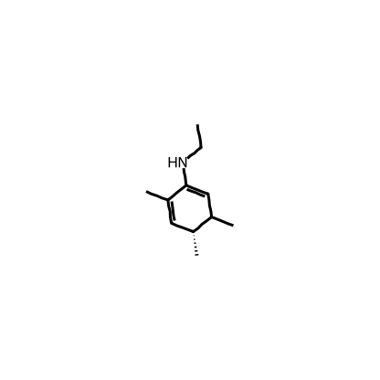 CCNC1=CC(C)[C@H](C)C=C1C